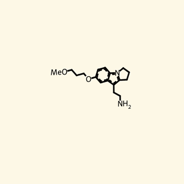 COCCCOc1ccc2c(c1)c(CCN)c1n2CCC1